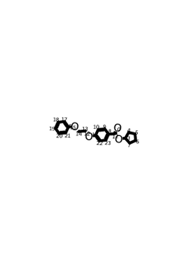 O=C(OC1CCCC1)c1ccc(OCCOc2ccccc2)cc1